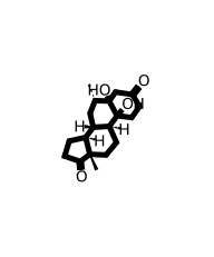 C[C@H]1C[C@@H]2[C@H](CC[C@]3(C)C(=O)CC[C@@H]23)C2(O)CCC(=O)CC12O